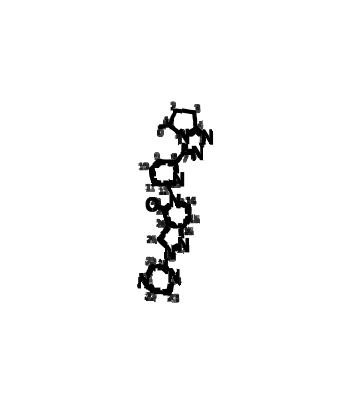 C[C@H]1CCc2nnc(-c3cccc(-n4ccc5nn(-c6cnccn6)cc5c4=O)n3)n21